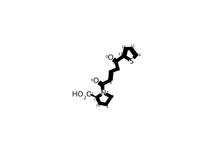 O=C(CC=CC(=O)N1CCC[C@H]1C(=O)O)c1cccs1